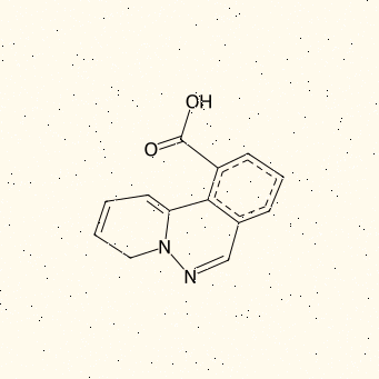 O=C(O)c1cccc2c1C1=CC=CCN1N=C2